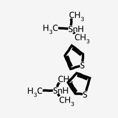 [CH3][SnH]([CH3])[CH3].[CH3][SnH]([CH3])[CH3].c1ccsc1.c1ccsc1